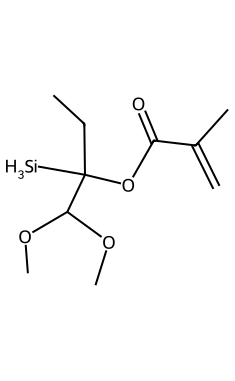 C=C(C)C(=O)OC([SiH3])(CC)C(OC)OC